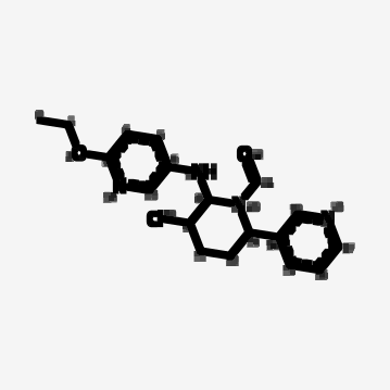 CCOc1ccc(NC2C(Cl)CCC(c3cccnc3)N2C=O)cn1